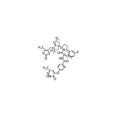 CCC(CC)(C(=O)OCc1oc(=O)oc1C)[C@H]1CC[C@@H](c2cccc(F)c2)N1C(=O)[C@@H](C)NC(=O)c1ccc(Oc2cc(C)n[nH]c2=O)cn1